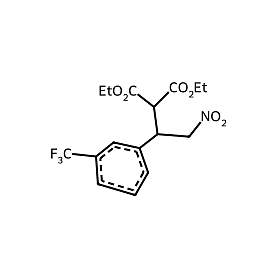 CCOC(=O)C(C(=O)OCC)C(C[N+](=O)[O-])c1cccc(C(F)(F)F)c1